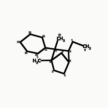 CCC1C2CCC(C)(C2)C1(C)C1CCCCC1